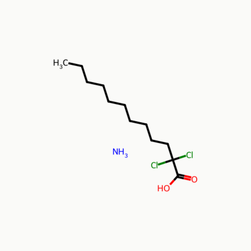 CCCCCCCCCCC(Cl)(Cl)C(=O)O.N